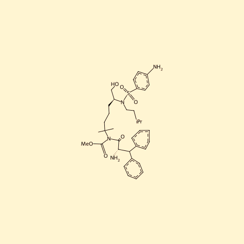 COC(=O)N(C(=O)[C@@H](N)C(c1ccccc1)c1ccccc1)C(C)(C)CCC[C@@H](CO)N(CCC(C)C)S(=O)(=O)c1ccc(N)cc1